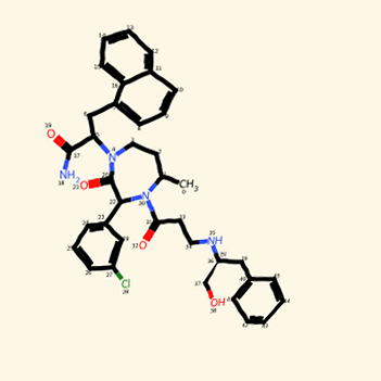 CC1CCN(C(Cc2cccc3ccccc23)C(N)=O)C(=O)C(c2cccc(Cl)c2)N1C(=O)CCN[C@H](CO)Cc1ccccc1